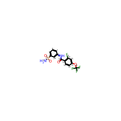 NS(=O)(=O)c1cccc(NC(=O)c2ccc(OC(F)(F)F)cc2F)c1